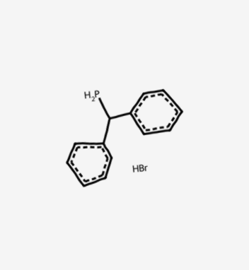 Br.PC(c1ccccc1)c1ccccc1